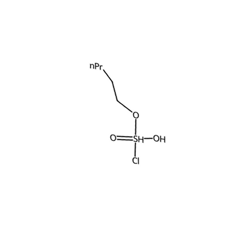 CCCCCO[SH](=O)(O)Cl